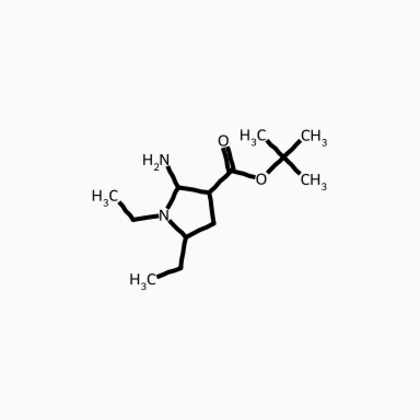 CCC1CC(C(=O)OC(C)(C)C)C(N)N1CC